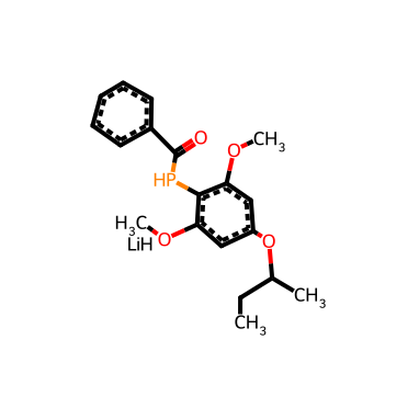 CCC(C)Oc1cc(OC)c(PC(=O)c2ccccc2)c(OC)c1.[LiH]